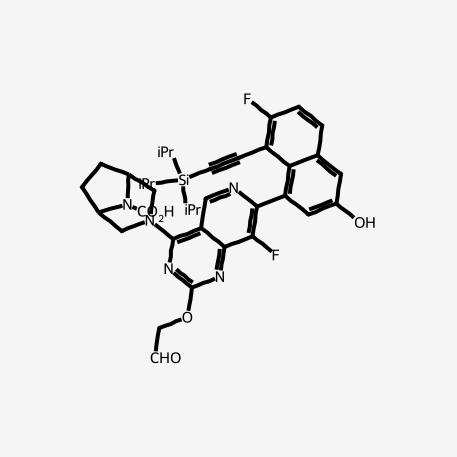 CC(C)[Si](C#Cc1c(F)ccc2cc(O)cc(-c3ncc4c(N5CC6CCC(C5)N6C(=O)O)nc(OCC=O)nc4c3F)c12)(C(C)C)C(C)C